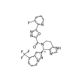 O=C(c1nnc(-c2ncccc2F)o1)N1CCc2[nH]cnc2[C@H]1c1cc2c(C(F)(F)F)cccn2n1